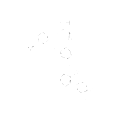 N#Cc1cccc(COc2cc(OCc3cccc(-c4ccc5c(c4)OCCO5)c3Br)ccc2CN[C@@H](CO)C(=O)O)c1